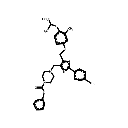 Cc1cc(SCc2sc(-c3ccc(C(F)(F)F)cc3)nc2CN2CCN(C(=O)Oc3ccccc3)CC2)ccc1OC(C)C(=O)O